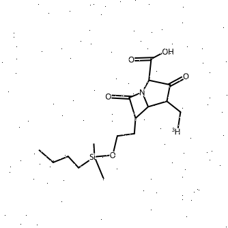 [3H]CC1C(=O)C(C(=O)O)N2C(=O)C(CCO[Si](C)(C)CCCC)C12